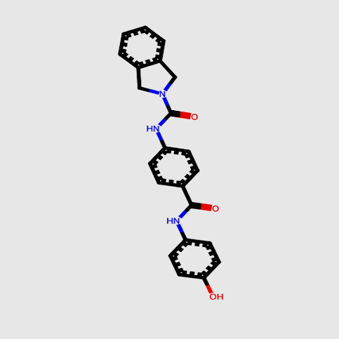 O=C(Nc1ccc(O)cc1)c1ccc(NC(=O)N2Cc3ccccc3C2)cc1